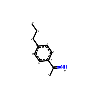 CCCc1ccc(C(C)=N)cc1